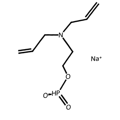 C=CCN(CC=C)CCO[PH](=O)[O-].[Na+]